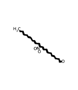 CC/C=C/C/C=C/C/C=C/C=C(/C=C/C=C/C/C=C/CC[C]=O)[N+](=O)[O-]